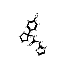 O=C(Nc1nccs1)NC1(c2ccc(Cl)cc2)CCCC1